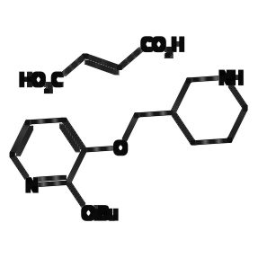 CC(C)COc1ncccc1OCC1CCCNC1.O=C(O)/C=C/C(=O)O